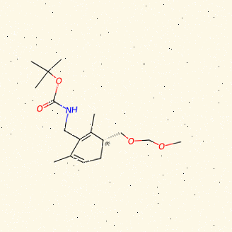 COCOC[C@@H]1CC=C(C)C(CNC(=O)OC(C)(C)C)=C1C